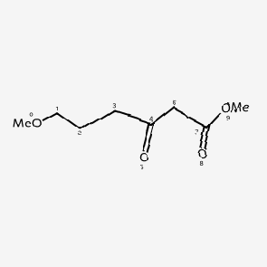 COCCCC(=O)CC(=O)OC